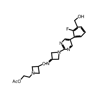 CC(=O)OCCN1CC(ON=C2CN(c3ncc(-c4cccc(CO)c4F)cn3)C2)C1